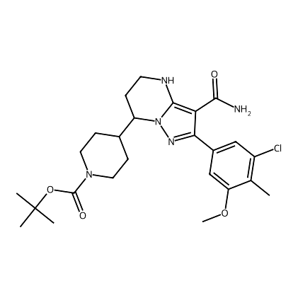 COc1cc(-c2nn3c(c2C(N)=O)NCCC3C2CCN(C(=O)OC(C)(C)C)CC2)cc(Cl)c1C